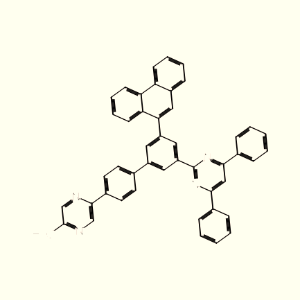 Cc1cnc(-c2ccc(-c3cc(-c4nc(-c5ccccc5)cc(-c5ccccc5)n4)cc(-c4cc5ccccc5c5ccccc45)c3)cc2)cn1